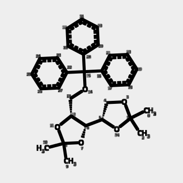 CC1(C)OC[C@@H]([C@@H]2OC(C)(C)O[C@@H]2COC(c2ccccc2)(c2ccccc2)c2ccccc2)O1